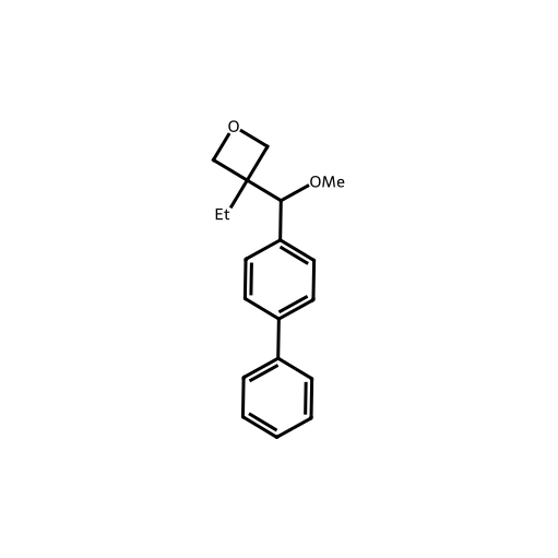 CCC1(C(OC)c2ccc(-c3ccccc3)cc2)COC1